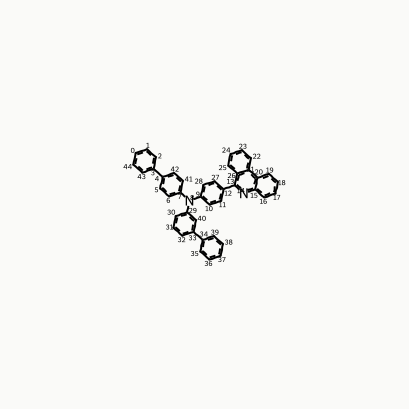 c1ccc(-c2ccc(N(c3ccc(-c4nc5ccccc5c5ccccc45)cc3)c3cccc(-c4ccccc4)c3)cc2)cc1